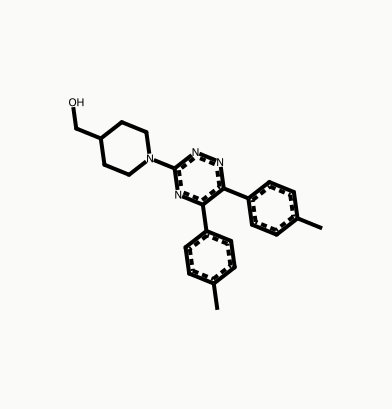 Cc1ccc(-c2nnc(N3CCC(CO)CC3)nc2-c2ccc(C)cc2)cc1